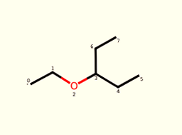 [CH2]COC(CC)CC